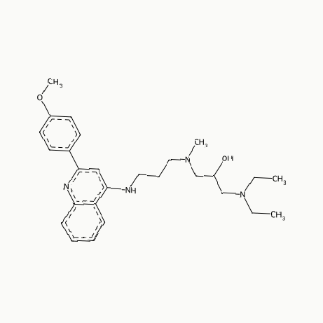 CCN(CC)CC(O)CN(C)CCCNc1cc(-c2ccc(OC)cc2)nc2ccccc12